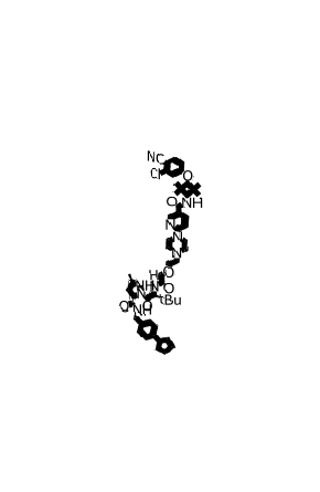 C[C@@H]1C[C@@H](C(=O)NCc2ccc(C3CCCC3)cc2)N(C(=O)[C@@H](NC(=O)COCCN2CCN(c3ccc(C(=O)N[C@H]4C(C)(C)[C@H](Oc5ccc(C#N)c(Cl)c5)C4(C)C)cn3)CC2)C(C)(C)C)N1